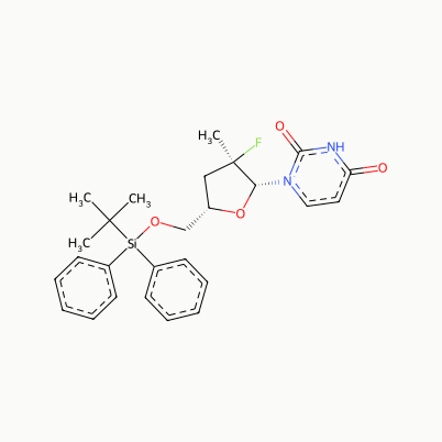 CC(C)(C)[Si](OC[C@@H]1C[C@@](C)(F)[C@H](n2ccc(=O)[nH]c2=O)O1)(c1ccccc1)c1ccccc1